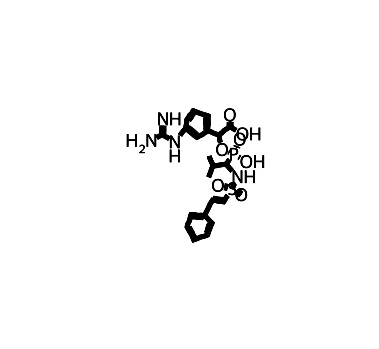 CC(C)C(NS(=O)(=O)C=Cc1ccccc1)P(=O)(O)OC(C(=O)O)c1cccc(NC(=N)N)c1